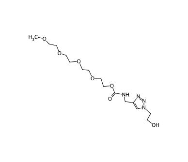 COCCOCCOCCOCCOC(=O)NCc1cn(CCO)nn1